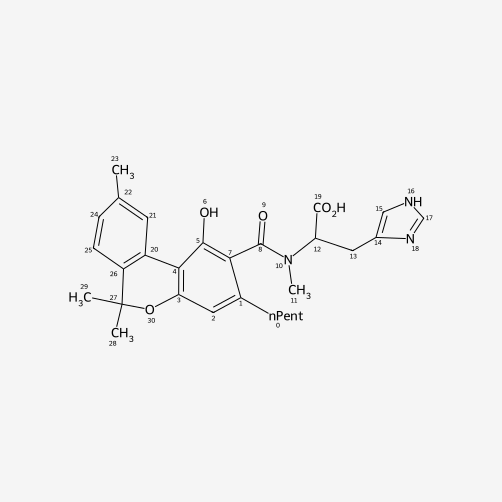 CCCCCc1cc2c(c(O)c1C(=O)N(C)C(Cc1c[nH]cn1)C(=O)O)-c1cc(C)ccc1C(C)(C)O2